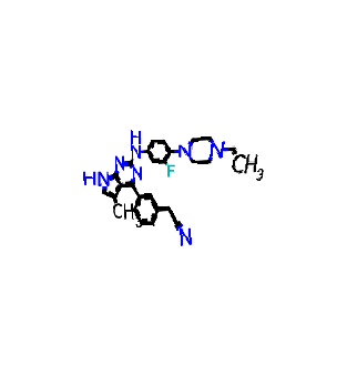 CCN1CCN(c2ccc(Nc3nc(-c4cccc(CC#N)c4)c4c(C)c[nH]c4n3)cc2F)CC1